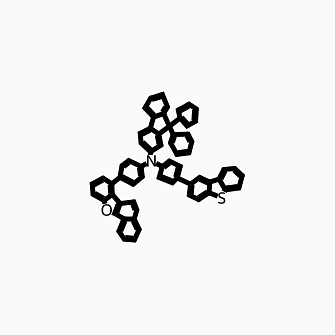 c1ccc(C2(c3ccccc3)c3ccccc3-c3ccc(N(c4ccc(-c5ccc6sc7ccccc7c6c5)cc4)c4ccc(-c5cccc6oc7c8ccccc8ccc7c56)cc4)cc32)cc1